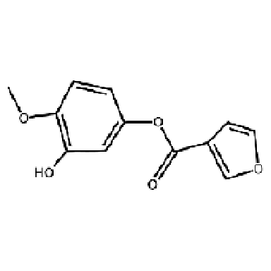 COc1ccc(OC(=O)c2ccoc2)cc1O